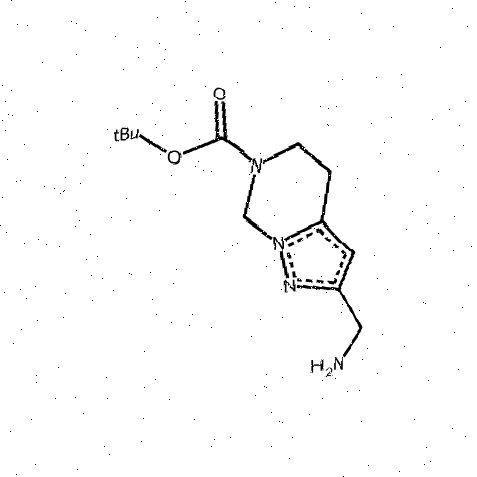 CC(C)(C)OC(=O)N1CCc2cc(CN)nn2C1